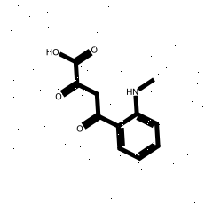 CNc1ccccc1C(=O)CC(=O)C(=O)O